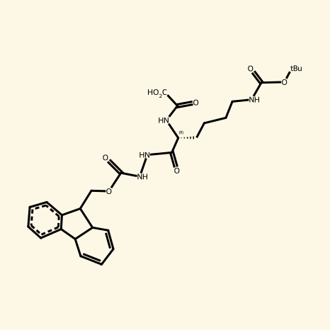 CC(C)(C)OC(=O)NCCCC[C@@H](NC(=O)C(=O)O)C(=O)NNC(=O)OCC1c2ccccc2C2C=CC=CC21